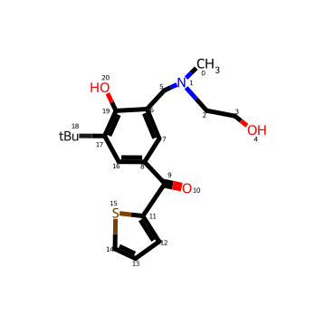 CN(CCO)Cc1cc(C(=O)c2cccs2)cc(C(C)(C)C)c1O